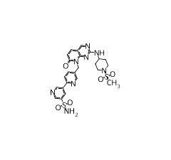 CS(=O)(=O)N1CCC(Nc2ncc3ccc(=O)n(Cc4ccc(-c5cncc(S(N)(=O)=O)c5)nc4)c3n2)CC1